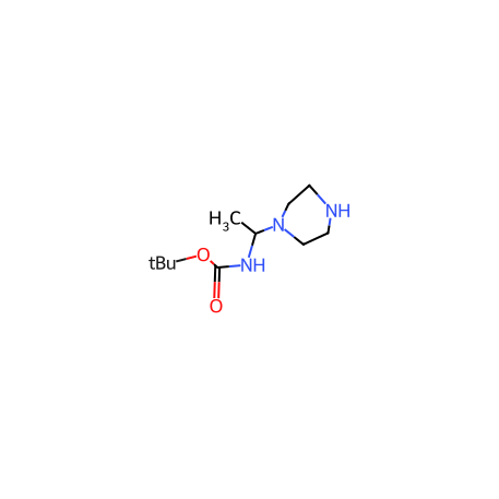 CC(NC(=O)OC(C)(C)C)N1CCNCC1